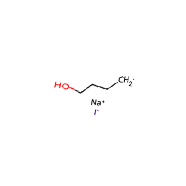 [CH2]CCCO.[I-].[Na+]